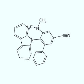 CN(C)c1cc(C#N)cc(-c2ccccc2)c1-n1c2ccccc2c2ccccc21